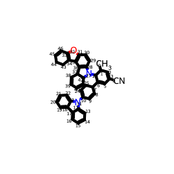 CC1C=C(C#N)C=C(C2C=CC(n3c4ccccc4c4ccccc43)=CC2)C1N1c2ccc3oc4c(c3c2C2C=CC=CC21)CCC=C4